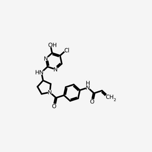 C=CC(=O)Nc1ccc(C(=O)N2CCC(Nc3ncc(Cl)c(O)n3)C2)cc1